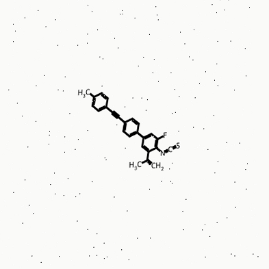 C=C(C)c1cc(-c2ccc(C#Cc3ccc(C)cc3)cc2)cc(F)c1N=C=S